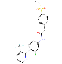 CCS(=O)(=O)c1ccc(CC(=O)Nc2ccc(-c3ncccc3C(F)(F)F)c(Cl)c2)cc1